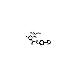 C[C@@H]1C[C@@H](C(=O)NCc2ccc(-c3cnco3)cc2)N(C(=O)[C@@H](N)C(C)(C)C)C1